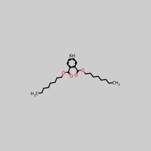 CCCCCCCCOC(=O)c1ccccc1C(=O)OCCCCCCCC.[KH]